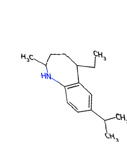 CCC1CCC(C)Nc2ccc(C(C)C)cc21